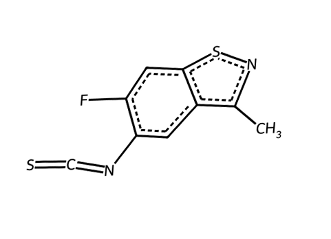 Cc1nsc2cc(F)c(N=C=S)cc12